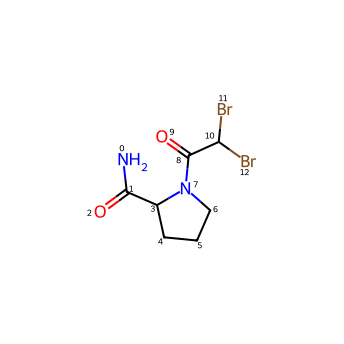 NC(=O)C1CCCN1C(=O)C(Br)Br